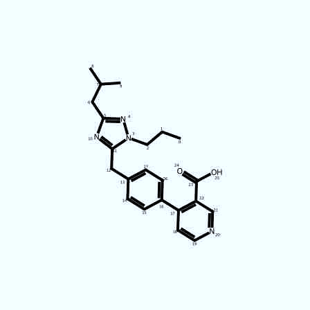 CCCn1nc(CC(C)C)nc1Cc1ccc(-c2ccncc2C(=O)O)cc1